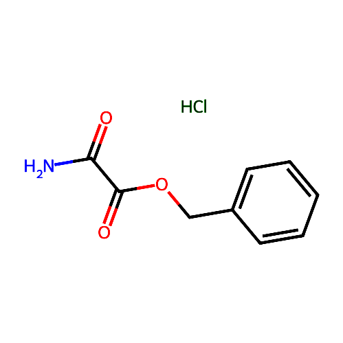 Cl.NC(=O)C(=O)OCc1ccccc1